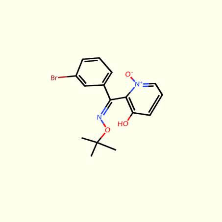 CC(C)(C)O/N=C(/c1cccc(Br)c1)c1c(O)ccc[n+]1[O-]